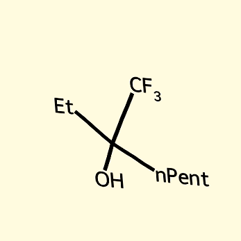 CCCCCC(O)(CC)C(F)(F)F